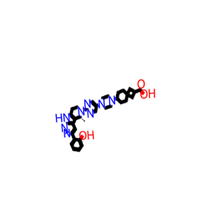 C[C@@H]1c2c([nH]c3nnc(-c4ccccc4O)cc23)CCN1c1ncc(N2CCN(C3CCC4(CC3)CC(C(=O)O)C4)CC2)cn1